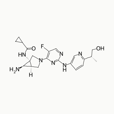 C[C@@H](CO)c1ccc(Nc2ncc(F)c(N3C[C@H]4[C@@H](N)[C@@]4(NC(=O)C4CC4)C3)n2)cn1